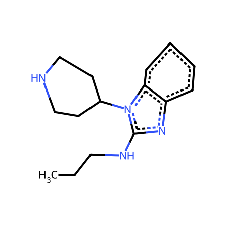 CCCNc1nc2ccccc2n1C1CCNCC1